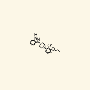 CCCOc1[c]ccc(N2CCN(c3n[nH]c4ccccc34)CC2)c1OC